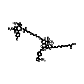 Cc1ncsc1-c1ccc(CNC(=O)[C@@H]2C[C@@H](OC(=O)CCCCCCCCCCC(=O)O)CN2C(=O)[C@@H](NC(=O)COCCOCCOCCNC(=O)C[C@@H]2N=C(c3ccc(Cl)cc3)c3c(sc(C)c3C)-n3c(C)nnc32)C(C)(C)C)cc1